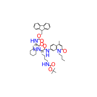 CCCCn1c(=O)cc(C)c2ccc(NC(=O)[C@H](CCCCNC(=O)OC(C)(C)C)NC(=O)[C@H](CC3CCCCC3)NC(=O)OCC3c4ccccc4-c4ccccc43)cc21